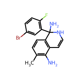 Cc1ccc2c(c1N)C=CNC2(N)c1cc(Br)ccc1F